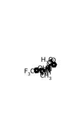 C[C@H]1CC(O)(c2ccc(C(F)(F)F)cc2)C[C@@H](c2cn(Cc3ccccc3S(C)(=O)=O)nn2)N1